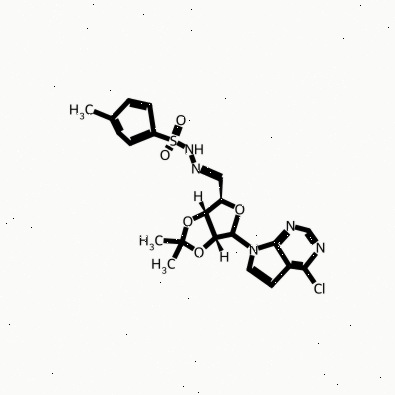 Cc1ccc(S(=O)(=O)N/N=C/[C@H]2OC(n3ccc4c(Cl)ncnc43)[C@@H]3OC(C)(C)O[C@H]23)cc1